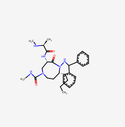 CCCC[C@@H]1CCN(C(=O)NC)C[C@H](NC(=O)[C@H](C)NC)C(=O)N1NC(c1ccccc1)c1ccccc1